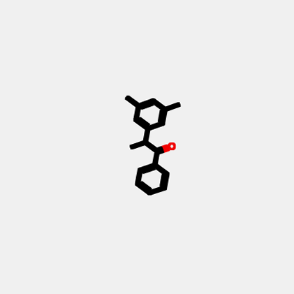 Cc1cc(C)cc(C(C)C(=O)c2ccccc2)c1